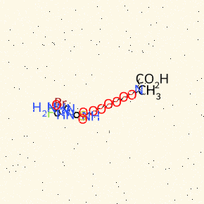 CN(CC=CC(=O)O)CCOCCOCCOCCOCCOCCOCCNS(=O)(=O)c1ccc(Nc2ncc(Br)c(Nc3cccc(F)c3C(N)=O)n2)cc1